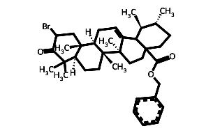 C[C@@H]1CCC2(C(=O)OCc3ccccc3)CC[C@]3(C)C(=CC[C@@H]4[C@@]5(C)CC(Br)C(=O)C(C)(C)[C@@H]5CC[C@]43C)C2[C@H]1C